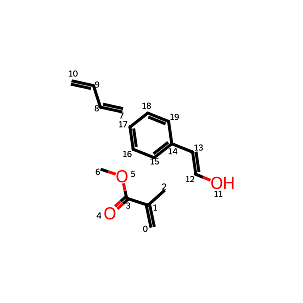 C=C(C)C(=O)OC.C=CC=C.OC=Cc1ccccc1